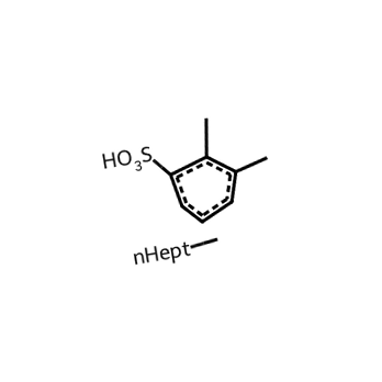 CCCCCCCC.Cc1cccc(S(=O)(=O)O)c1C